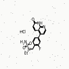 CCN(Cc1ccc(-c2ccnc3[nH]c(=O)ccc23)cc1F)S(N)(=O)=O.Cl